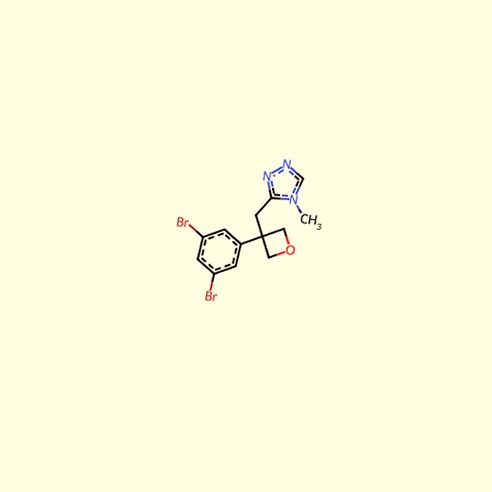 Cn1cnnc1CC1(c2cc(Br)cc(Br)c2)COC1